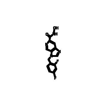 O=C(NO)c1cc2ncn(Cc3ccc(F)cc3F)c2cn1